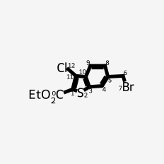 CCOC(=O)c1sc2cc(CBr)ccc2c1Cl